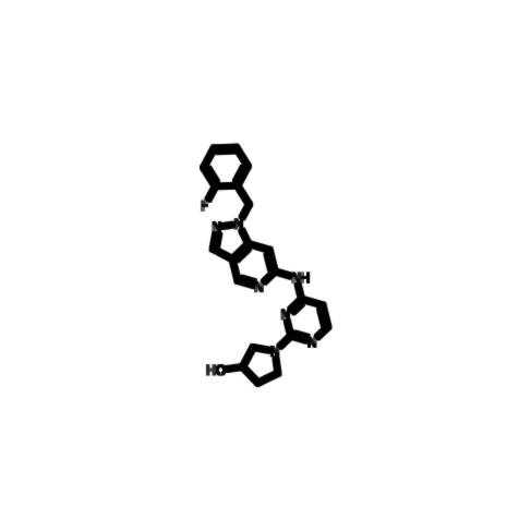 OC1CCN(c2nccc(Nc3cc4c(cn3)cnn4Cc3ccccc3F)n2)C1